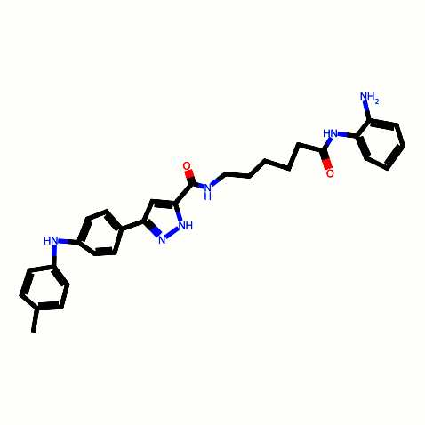 Cc1ccc(Nc2ccc(-c3cc(C(=O)NCCCCCC(=O)Nc4ccccc4N)[nH]n3)cc2)cc1